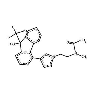 CC(=O)N(C)CCn1cc(-c2cccc3c2-c2ccccc2C3(O)C(F)(F)P)cn1